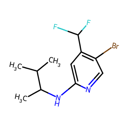 CC(C)C(C)Nc1cc(C(F)F)c(Br)cn1